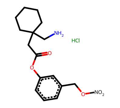 Cl.NCC1(CC(=O)Oc2cccc(CO[N+](=O)[O-])c2)CCCCC1